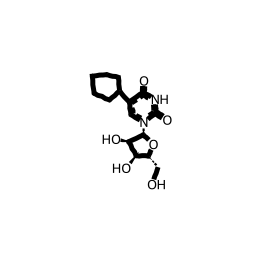 O=c1[nH]c(=O)n([C@@H]2O[C@H](CO)[C@@H](O)[C@H]2O)cc1C1CCCCC1